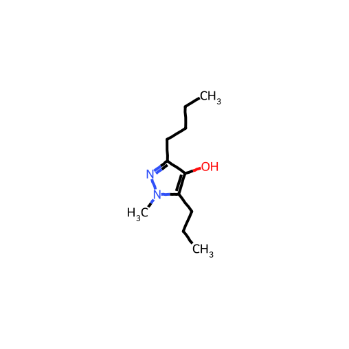 CCCCc1nn(C)c(CCC)c1O